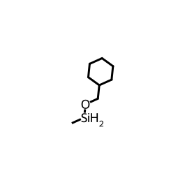 C[SiH2]OCC1CCCCC1